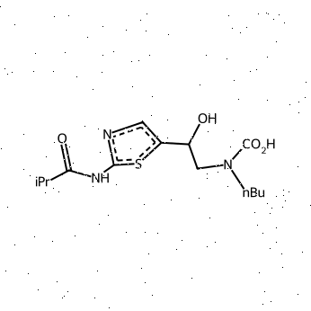 CCCCN(CC(O)c1cnc(NC(=O)C(C)C)s1)C(=O)O